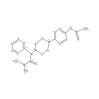 CC(=O)Oc1ccc(N2CCN(C(C(=O)N(C)C)c3ccccc3)CC2)cc1